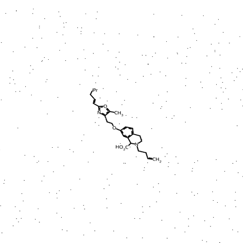 C=CCCN1CCc2ccc(OCCc3nc(C=CCC(C)C)oc3C)cc2C1C(=O)O